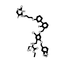 CCOC(=O)[C@@H](CO)NCc1cc(Cl)c(OCc2cccc(-c3cccc(OCCCNc4[nH]c(=O)ncc4F)c3)c2F)cc1OCc1ccc2nonc2c1